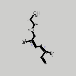 C=C/C(Br)=C\C=C(\Br)COCCO